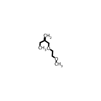 C=C(CC)COCCOC